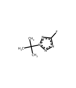 CC(C)(C)n1nnc(F)n1